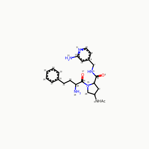 CC(=O)NC1CC(C(=O)NCc2ccnc(N)c2)N(C(=O)C(N)CCc2ccccc2)C1